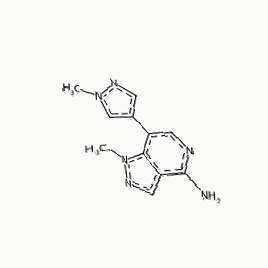 Cn1cc(-c2cnc(N)c3cnn(C)c23)cn1